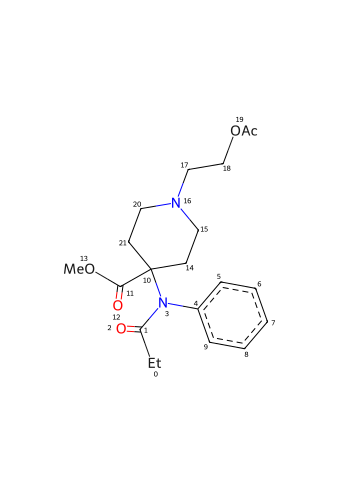 CCC(=O)N(c1ccccc1)C1(C(=O)OC)CCN(CCOC(C)=O)CC1